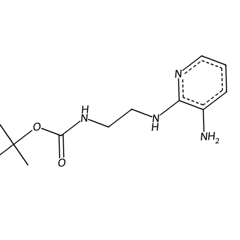 CC(C)(C)OC(=O)NCCNc1ncccc1N